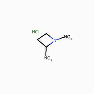 Cl.O=[N+]([O-])C1CCN1[N+](=O)[O-]